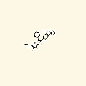 CCOc1nn2c(-c3ccccc3)c(-c3ccc(C4(N)CCC4)cc3)nc2c(C)c1C